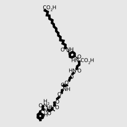 Cc1ccc(C[C@H](NCC(=O)[C@H](C)NC(=O)COCCOCCNC(=O)COCCOCCNC(=O)CC[C@H](NC(=O)[C@H]2CC[C@H](CNC(=O)CCCCCCCCCCCCCCCCCCC(=O)O)CC2)C(=O)O)C(N)=O)cc1